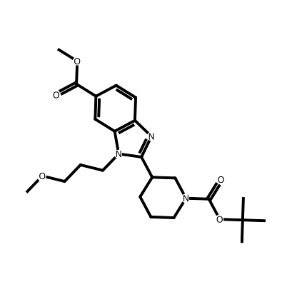 COCCCn1c(C2CCCN(C(=O)OC(C)(C)C)C2)nc2ccc(C(=O)OC)cc21